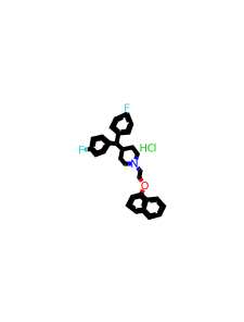 Cl.Fc1ccc(C(c2ccc(F)cc2)C2CCN(CCOc3cccc4ccccc34)CC2)cc1